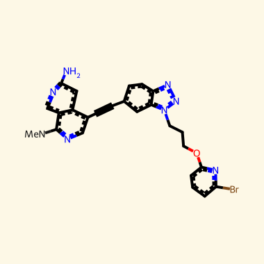 CNc1ncc(C#Cc2ccc3nnn(CCCOc4cccc(Br)n4)c3c2)c2cc(N)ncc12